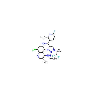 Cc1nc(F)ccc1C(Nc1cc(Cl)c2ncc(C#N)c(NCC(C)(C)C)c2c1)c1cn(C2(C(F)F)CC2)nn1